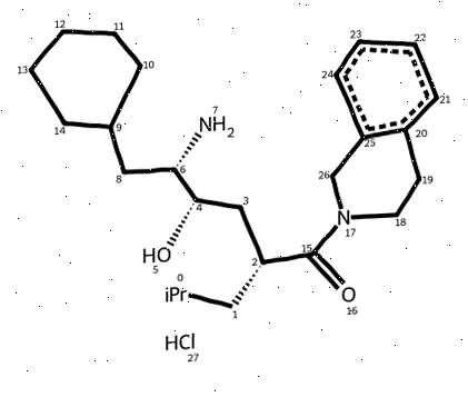 CC(C)C[C@H](C[C@H](O)[C@@H](N)CC1CCCCC1)C(=O)N1CCc2ccccc2C1.Cl